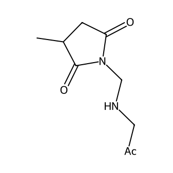 CC(=O)CNCN1C(=O)CC(C)C1=O